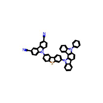 N#Cc1ccc2c(c1)c1cc(C#N)ccc1n2-c1ccc2sc3cc(-n4c5ccccc5c5ccc6c(c7ccccc7n6-c6ccccc6)c54)ccc3c2c1